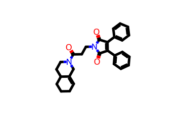 O=C(CCN1C(=O)C(c2ccccc2)=C(c2ccccc2)C1=O)N1CCC2CCCC=C2C1